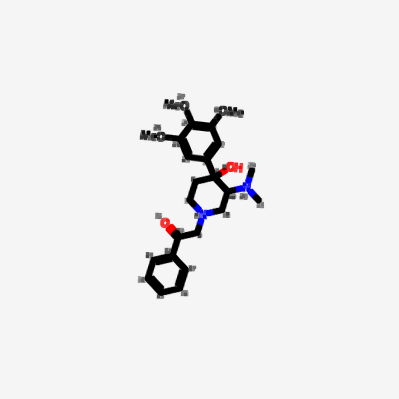 COc1cc(C2(O)CCN(CC(=O)c3ccccc3)CC2N(C)C)cc(OC)c1OC